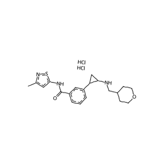 Cc1cc(NC(=O)c2cccc(C3CC3NCC3CCOCC3)c2)sn1.Cl.Cl